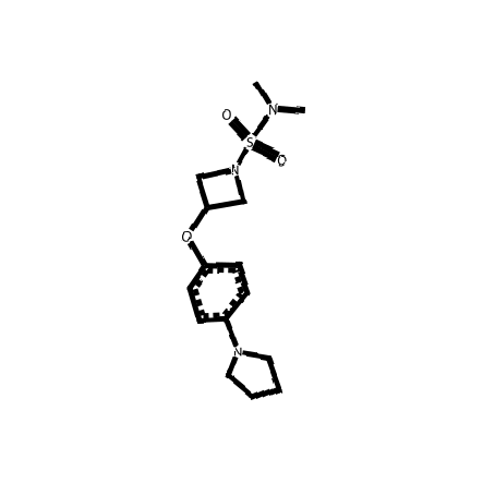 CN(C)S(=O)(=O)N1CC(Oc2ccc(N3CCCC3)cc2)C1